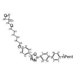 CCCCCc1ccc(-c2ccc(-c3nnc(-c4ccc(OCCCCCCOCC5(C)COC5)cc4)o3)cc2)cc1